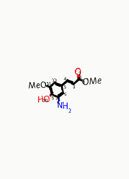 COC(=O)/C=C/c1cc(N)c(O)c(OC)c1